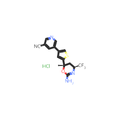 C[C@@]1(c2cc(-c3cncc(C#N)c3)cs2)C[C@@H](C(F)(F)F)N=C(N)O1.Cl